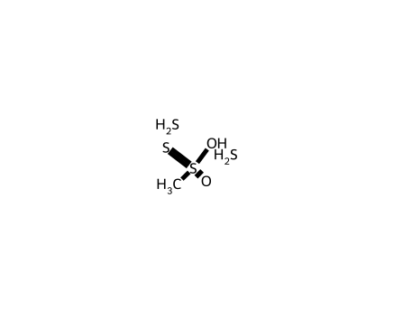 CS(=O)(O)=S.S.S